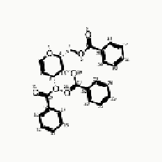 O=C(OC[C@H]1OC=C[C@@H](OC(=O)c2ccccc2)[C@H]1OC(=O)c1ccccc1)c1ccccc1